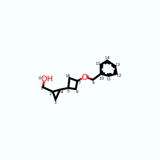 OCC1CC1C1CC(OCc2ccccc2)C1